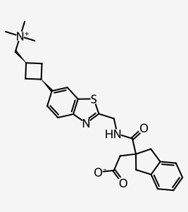 C[N+](C)(C)C[C@H]1C[C@@H](c2ccc3nc(CNC(=O)C4(CC(=O)[O-])Cc5ccccc5C4)sc3c2)C1